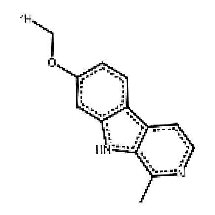 [2H]COc1ccc2c(c1)[nH]c1c(C)nccc12